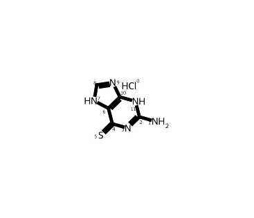 Cl.Nc1nc(=S)c2[nH]cnc2[nH]1